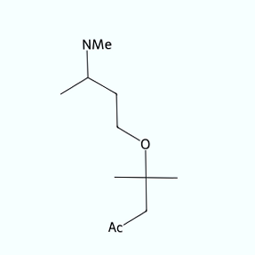 CNC(C)CCOC(C)(C)CC(C)=O